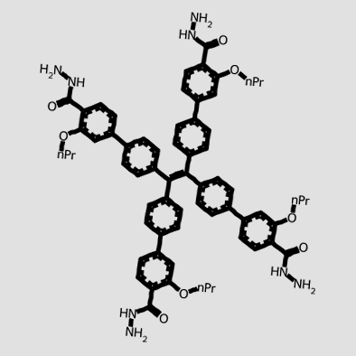 CCCOc1cc(-c2ccc(C(=C(c3ccc(-c4ccc(C(=O)NN)c(OCCC)c4)cc3)c3ccc(-c4ccc(C(=O)NN)c(OCCC)c4)cc3)c3ccc(-c4ccc(C(=O)NN)c(OCCC)c4)cc3)cc2)ccc1C(=O)NN